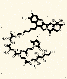 CC[C@@]1(O)C(=O)OCc2c1cc1n(c2=O)Cc2c-1nc1cc(F)c(C)cc1c2CCCCOCNC(=O)[C@H](C)NC(=O)[C@H](C)NC(=O)[C@H](CCC(=O)N(C)C[C@H](O)[C@@H](O)[C@H](O)[C@H](O)CO)NC(=O)CCN1C(=O)C=CC1=O